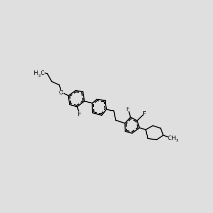 CCCCOc1ccc(-c2ccc(CCc3ccc(C4CCC(C)CC4)c(F)c3F)cc2)c(F)c1